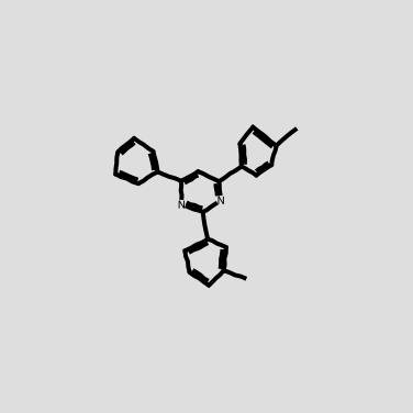 Cc1ccc(-c2cc(-c3ccccc3)nc(-c3cccc(C)c3)n2)cc1